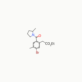 CCOC(=O)Cc1cc(Br)c(C)cc1C(=O)N1CCCC1C